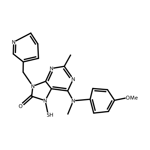 COc1ccc(N(C)c2nc(C)nc3c2n(S)c(=O)n3Cc2cccnc2)cc1